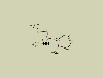 CCC[C@@H](NC)c1ccccc1S